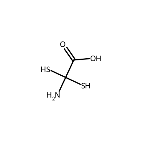 NC(S)(S)C(=O)O